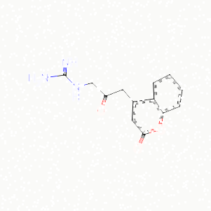 N=C(N)NCC(=O)Cc1cc(=O)oc2ccccc12